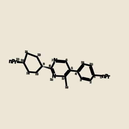 CCCc1ccc(-c2cnc([C@H]3CC[C@H](CCC)CC3)nc2C)cc1